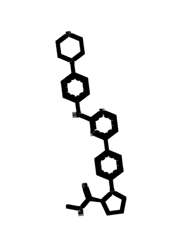 CNC(=O)[C@@H]1CCCN1c1ccc(-c2ccnc(Nc3ccc(N4CCOCC4)cc3)n2)cc1